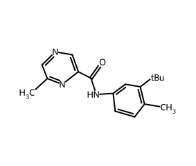 Cc1cncc(C(=O)Nc2ccc(C)c(C(C)(C)C)c2)n1